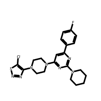 Fc1ccc(-c2cc(N3CCN(c4nnsc4Cl)CC3)nc(N3CCCCC3)n2)cc1